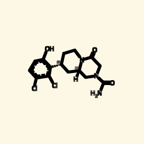 NC(=O)N1CC(=O)N2CC[C@@H](c3c(O)ccc(Cl)c3Cl)C[C@H]2C1